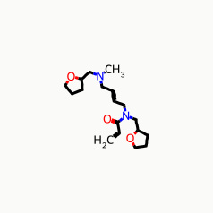 C=CC(=O)N(C/C=C/CN(C)CC1CCCO1)CC1CCCO1